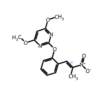 COc1cc(OC)nc(Oc2ccccc2/C=C(\C)[N+](=O)[O-])n1